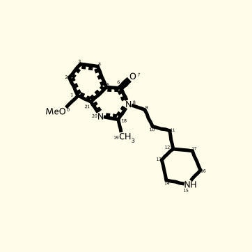 COc1cccc2c(=O)n(CCCC3CCNCC3)c(C)nc12